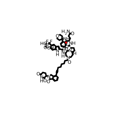 NC(=O)CCC(NC(=O)[C@@H]1CC[C@@H]2CCN(C(=O)CCCCCC#Cc3cccc4c3CN(C3CCC(=O)NC3=O)C4=O)C[C@H](NC(=O)c3cc4cc(C(F)(F)P(=O)(O)O)ccc4[nH]3)C(=O)N21)C(=O)NC1(c2ccccc2)CCOCC1